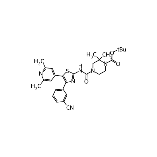 Cc1cc(-c2sc(NC(=O)N3CCN(C(=O)OC(C)(C)C)C(C)(C)C3)nc2-c2cccc(C#N)c2)cc(C)n1